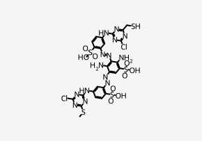 CSc1nc(Cl)nc(Nc2ccc(S(=O)(=O)O)c(N=Nc3cc(S(=O)(=O)O)c(N)c(N=Nc4cc(Nc5nc(Cl)nc(CS)n5)ccc4S(=O)(=O)O)c3N)c2)n1